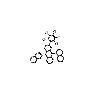 Clc1c(Cl)c(Cl)c(-c2ccc3c(-c4ccc5ccccc5c4)c4ccccc4c(-c4cccc5ccccc45)c3c2)c(Cl)c1Cl